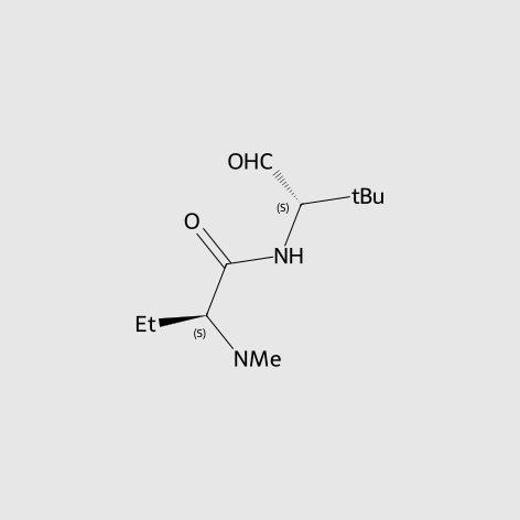 CC[C@H](NC)C(=O)N[C@H](C=O)C(C)(C)C